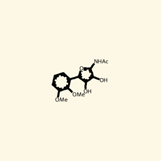 COc1cccc(-c2oc(NC(C)=O)c(O)c2O)c1OC